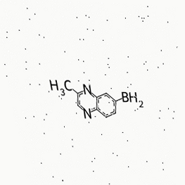 Bc1ccc2ncc(C)nc2c1